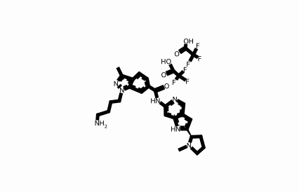 Cc1nn(CCCCN)c2cc(C(=O)Nc3cc4[nH]c([C@H]5CCCN5C)cc4cn3)ccc12.O=C(O)C(F)(F)F.O=C(O)C(F)(F)F